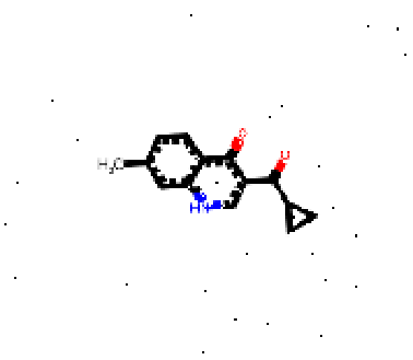 Cc1ccc2c(=O)c(C(=O)C3CC3)c[nH]c2c1